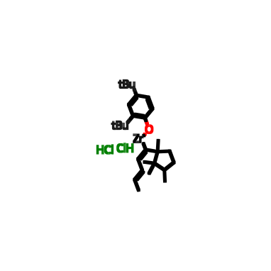 CC=CC=[C]([Zr][O]c1ccc(C(C)(C)C)cc1C(C)(C)C)C1(C)CCC(C)C1(C)C.Cl.Cl